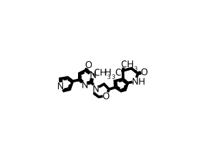 Cn1c(N2CCOC(c3ccc4c(c3)C(C)(C)CC(=O)N4)C2)nc(-c2ccncc2)cc1=O